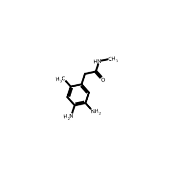 CNC(=O)Cc1cc(N)c(N)cc1C